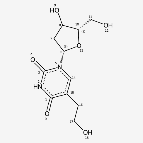 O=c1[nH]c(=O)n([C@@H]2CC(O)[C@H](CO)O2)cc1CCO